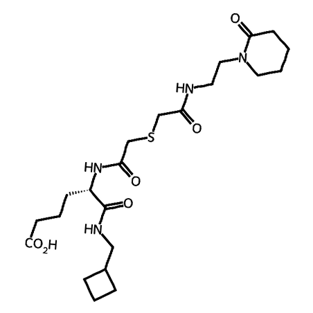 O=C(O)CCC[C@H](NC(=O)CSCC(=O)NCCN1CCCCC1=O)C(=O)NCC1CCC1